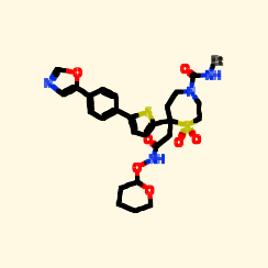 CCNC(=O)N1CCC(CC(=O)NOC2CCCCO2)(c2ccc(-c3ccc(-c4cnco4)cc3)s2)S(=O)(=O)CC1